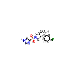 Cn1cnc(S(=O)(=O)N2C[C@@H](C(=O)O)[C@H](c3ccc(F)cc3)C2)c1